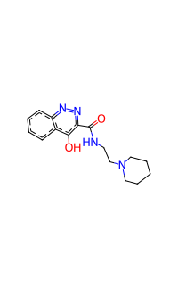 O=C(NCCN1CCCCC1)c1nnc2ccccc2c1O